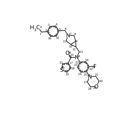 CCc1ccc(CN2CC3C(C2)C3CN(C(=O)c2ccsc2)c2ccc(N3CCOCC3)c(F)c2)cc1